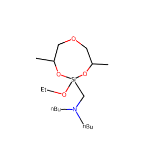 CCCCN(CCCC)C[Si]1(OCC)OC(C)COCC(C)O1